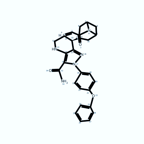 C=CC(=O)N1C2CC1CN([C@@H]1CCNc3c1nn(-c1ccc(Oc4ccccc4)cc1)c3C(N)=O)C2